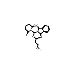 CCCC(=O)OC(N1C(=O)CCCC1=O)N1C(=O)c2ccccc2C1=O